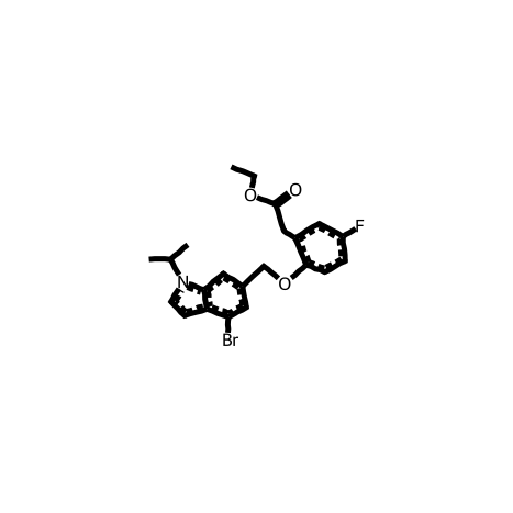 CCOC(=O)Cc1cc(F)ccc1OCc1cc(Br)c2ccn(C(C)C)c2c1